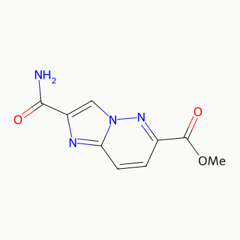 COC(=O)c1ccc2nc(C(N)=O)cn2n1